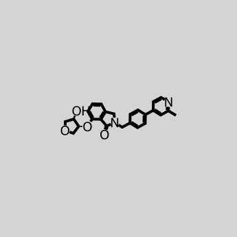 Cc1cc(-c2ccc(CN3Cc4cccc(O[C@@H]5COC[C@H]5O)c4C3=O)cc2)ccn1